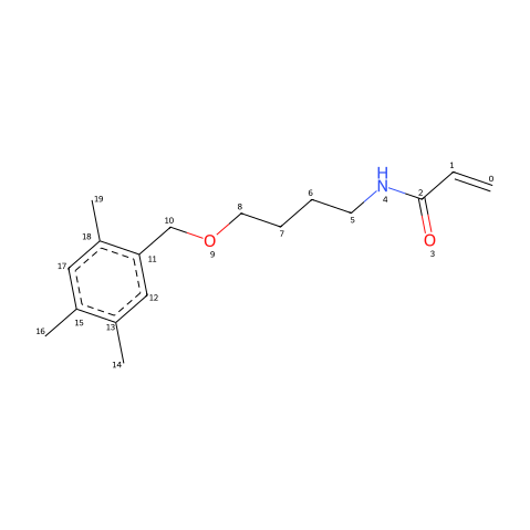 C=CC(=O)NCCCCOCc1cc(C)c(C)cc1C